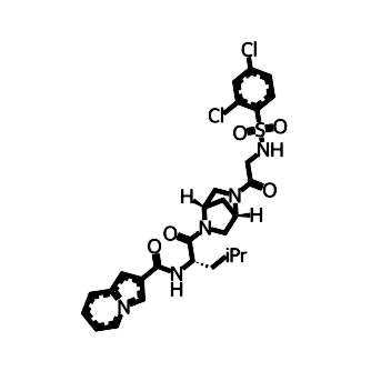 CC(C)C[C@H](NC(=O)c1cc2ccccn2c1)C(=O)N1C[C@@H]2C[C@H]1CN2C(=O)CNS(=O)(=O)c1ccc(Cl)cc1Cl